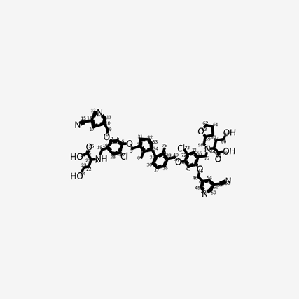 Cc1c(COc2cc(OCc3cncc(C#N)c3)c(CNC(CCO)C(=O)O)cc2Cl)cccc1-c1cccc(COc2cc(OCc3cncc(C#N)c3)c(CN(CC3CCCO3)C(CCO)C(=O)O)cc2Cl)c1C